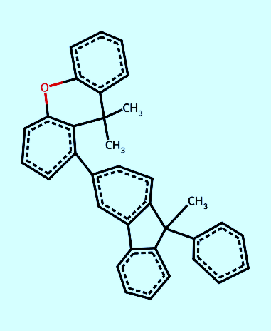 CC1(C)c2ccccc2Oc2cccc(-c3ccc4c(c3)-c3ccccc3C4(C)c3ccccc3)c21